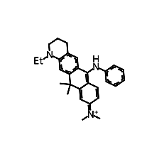 CCN1CCCc2cc3c(cc21)C(C)(C)C1=CC(=[N+](C)C)C=CC1=C3Nc1ccccc1